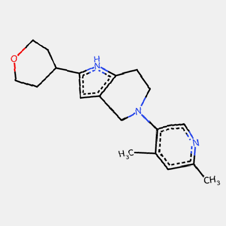 Cc1cc(C)c(N2CCc3[nH]c(C4CCOCC4)cc3C2)cn1